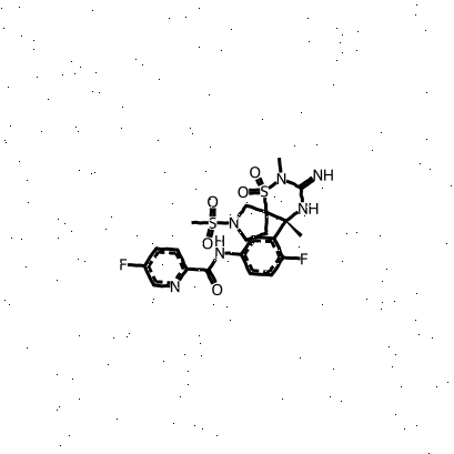 CN1C(=N)N[C@](C)(c2cc(NC(=O)c3ccc(F)cn3)ccc2F)C2(CCN(S(C)(=O)=O)C2)S1(=O)=O